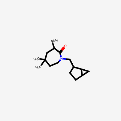 CNC1CC(C)(C)CCN(CC2CCC3CC32)C1=O